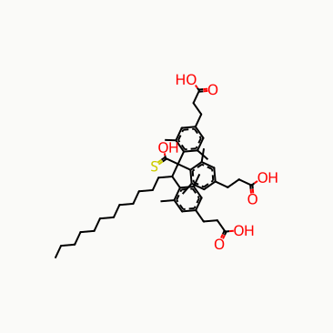 CCCCCCCCCCCCC(c1c(C)cc(CCC(=O)O)cc1C)C(C(O)=S)(c1c(C)cc(CCC(=O)O)cc1C)c1c(C)cc(CCC(=O)O)cc1C